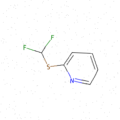 FC(F)Sc1ccccn1